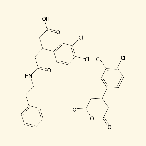 O=C(O)CC(CC(=O)NCCc1ccccc1)c1ccc(Cl)c(Cl)c1.O=C1CC(c2ccc(Cl)c(Cl)c2)CC(=O)O1